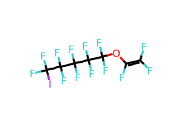 FC(F)=C(F)OC(F)(F)C(F)(F)C(F)(F)C(F)(F)C(F)(F)I